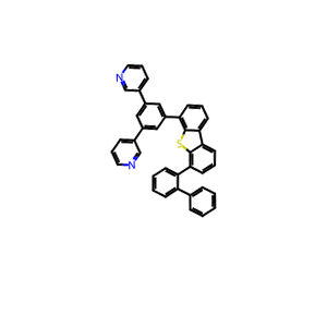 c1ccc(-c2ccccc2-c2cccc3c2sc2c(-c4cc(-c5cccnc5)cc(-c5cccnc5)c4)cccc23)cc1